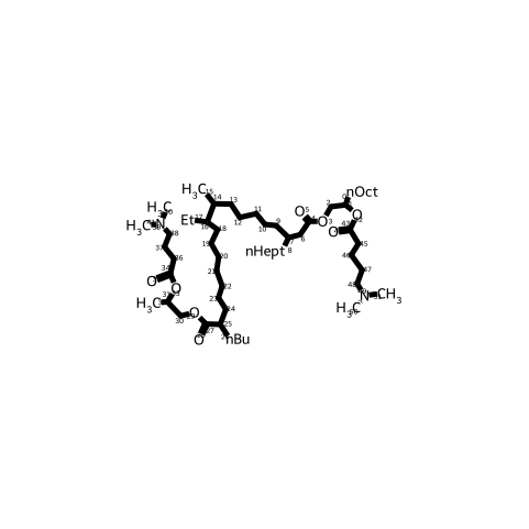 CCCCCCCCC(COC(=O)CC(CCCCCCC)CCCCCC(C)C(CC)CCCCCCCC(CCCC)C(=O)OCC(C)OC(=O)CCCN(C)C)OC(=O)CCCCN(C)C